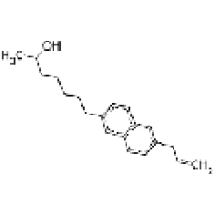 C=CCc1ccc2cc(CCCCCC(C)O)ccc2c1